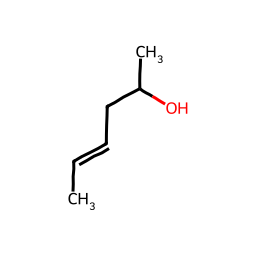 CC=CCC(C)O